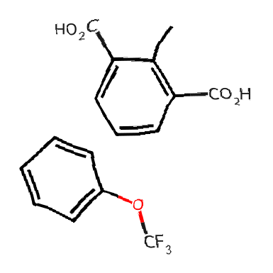 Cc1c(C(=O)O)cccc1C(=O)O.FC(F)(F)Oc1ccccc1